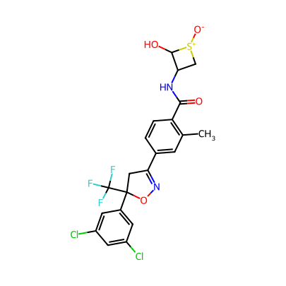 Cc1cc(C2=NOC(c3cc(Cl)cc(Cl)c3)(C(F)(F)F)C2)ccc1C(=O)NC1C[S+]([O-])C1O